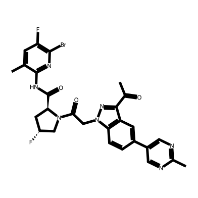 CC(=O)c1nn(CC(=O)N2C[C@H](F)C[C@H]2C(=O)Nc2nc(Br)c(F)cc2C)c2ccc(-c3cnc(C)nc3)cc12